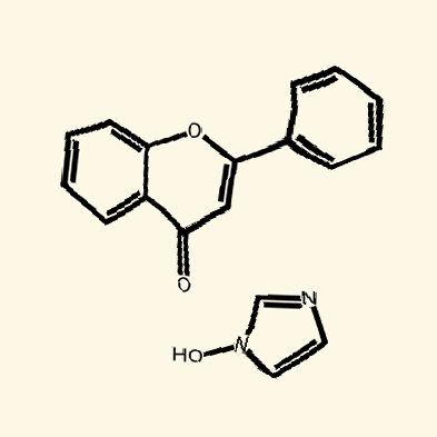 O=c1cc(-c2ccccc2)oc2ccccc12.On1ccnc1